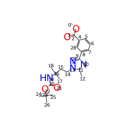 COC(=O)c1cccc(-c2nc(C)n(CCC(C)(C)NC(=O)OC(C)(C)C)n2)c1